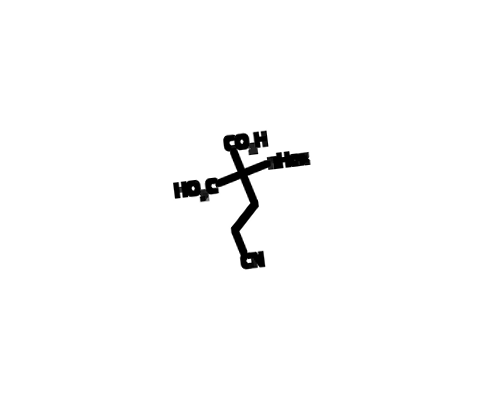 CCCCCCC(CCC#N)(C(=O)O)C(=O)O